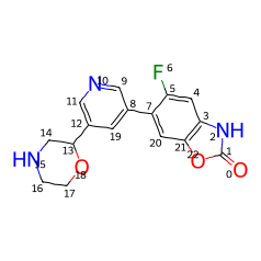 O=c1[nH]c2cc(F)c(-c3cncc(C4CNCCO4)c3)cc2o1